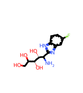 NC(c1nc2cc(F)ccc2[nH]1)[C@@H](O)[C@H](O)C(O)CO